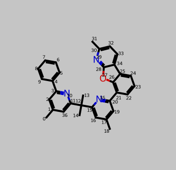 Cc1cc(-c2ccccc2)nc(C(C)(C)c2cc(C)cc(-c3cccc4c3oc3nc(C)ccc34)n2)c1